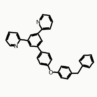 c1ccc(Cc2ccc(Oc3ccc(-c4cc(-c5ccccn5)cc(-c5ccccn5)c4)cc3)cc2)cc1